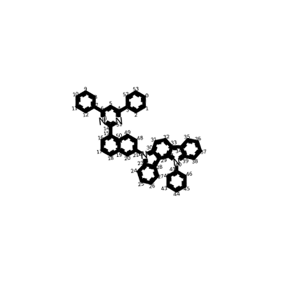 c1ccc(-c2cc(-c3ccccc3)nc(-c3cccc4cc(-n5c6ccccc6c6c5ccc5c7ccccc7n(-c7ccccc7)c56)ccc34)n2)cc1